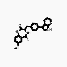 COc1ccc2c(c1)C(=O)NC(Cc1ccc(-c3c[nH]c4ncccc34)cc1)C(=O)N2